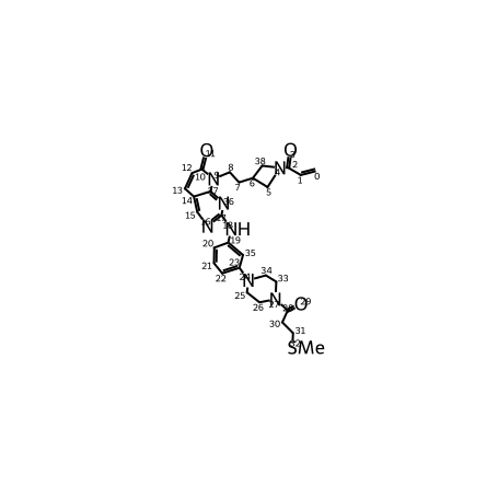 C=CC(=O)N1CC(CCn2c(=O)ccc3cnc(Nc4cccc(N5CCN(C(=O)CCSC)CC5)c4)nc32)C1